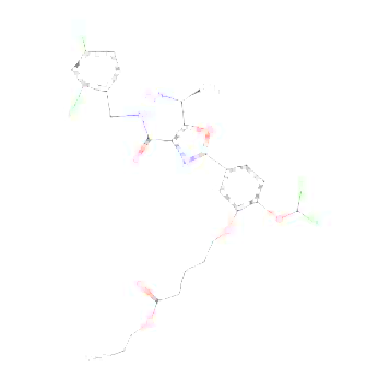 COCCOC(=O)CCCCOc1cc(-c2nc(C(=O)NCc3ccc(F)cc3F)c([C@H](C)N)o2)ccc1OC(F)F